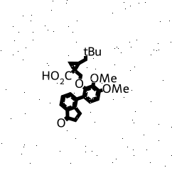 COc1ccc(-c2cccc3c2CCC3=O)c(OCC2(C(=O)O)CC2CC(C)(C)C)c1OC